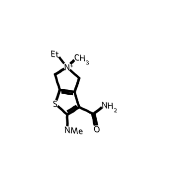 CC[N+]1(C)Cc2sc(NC)c(C(N)=O)c2C1